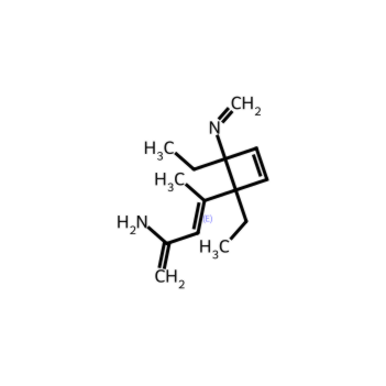 C=NC1(CC)C=CC1(CC)/C(C)=C/C(=C)N